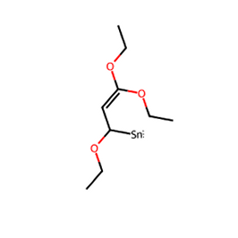 CCOC(=C[CH]([Sn])OCC)OCC